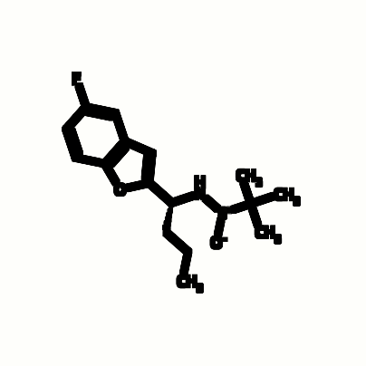 CCC[C@@H](N[S+]([O-])C(C)(C)C)c1cc2cc(F)ccc2o1